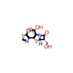 Cc1scnc1C1=C(C(=O)O)N2C(=O)[C@H](CO)[C@H]2S1